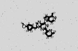 COc1ccc(Cn2cnc3c(-n4ccc5c(C)nccc54)nc(-c4cccc(C)n4)nc32)cc1